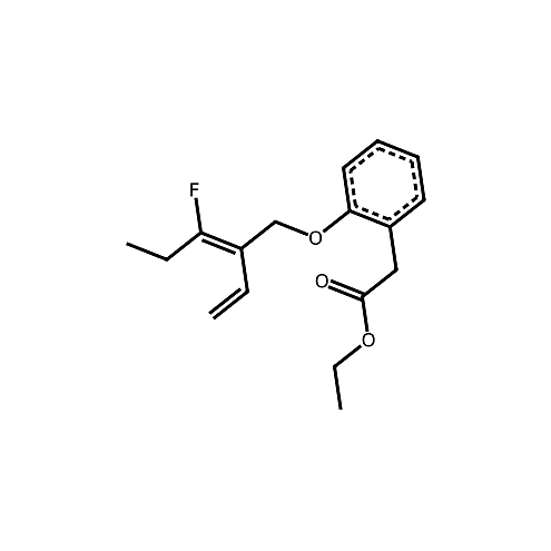 C=C/C(COc1ccccc1CC(=O)OCC)=C(/F)CC